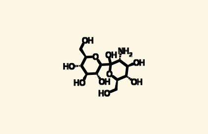 N[C@@H]1[C@@H](O)[C@H](O)[C@@H](CO)OC1(O)C1O[C@H](CO)[C@@H](O)[C@H](O)[C@H]1O